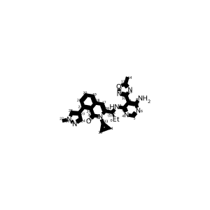 CC[C@H](Nc1ncnc(N)c1-c1noc(C)n1)c1cc2cccc(-c3cnn(C)c3)c2c(=O)n1C1CC1